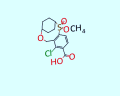 C.O=C(O)c1ccc2c(c1Cl)COC1CCC(CC1)S2(=O)=O